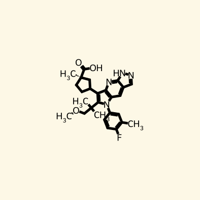 COCC(C)(C)c1c(C2CC[C@@](C)(C(=O)O)C2)c2nc3[nH]ncc3cc2n1-c1ccc(F)c(C)c1